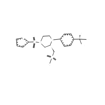 C[C@@](O)(c1ccc(N2CCN(S(=O)(=O)c3cccs3)C[C@@H]2CS(N)(=O)=O)cc1)C(F)(F)F